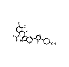 C[C@H](c1c(OC(F)F)ccc(F)c1Cl)c1c[nH]c2ncc(-c3cnc(C4CCC(O)CC4)n3C)cc12